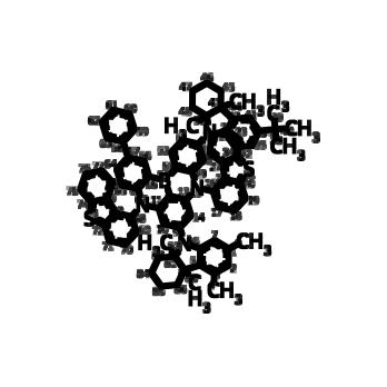 Cc1cc(C)c2c(c1)N(c1cc3c4c(c1)N(c1cccc5sc6ccccc6c15)c1cc(N5c6ccc(C(C)(C)C)cc6C6(C)CCCCC56C)ccc1B4c1cc(-c4ccccc4)ccc1N3c1cccc3sc4ccccc4c13)C1(C)CCCCC21C